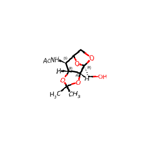 CC(=O)N[C@H]1C2CO[C@](CO)(O2)[C@@H]2OC(C)(C)O[C@@H]21